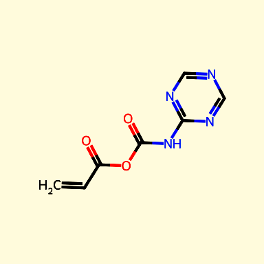 C=CC(=O)OC(=O)Nc1ncncn1